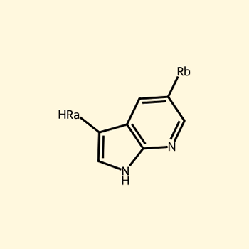 [Rb][c]1cnc2[nH]c[c]([RaH])c2c1